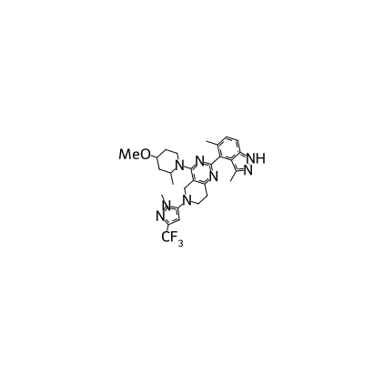 COC1CCN(c2nc(-c3c(C)ccc4[nH]nc(C)c34)nc3c2CN(c2cc(C(F)(F)F)nn2C)CC3)C(C)C1